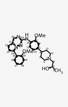 COc1cc(C2CCN(CC(C)O)CC2)ccc1Nc1ncc2ccc(-c3ccccc3OC)n2n1